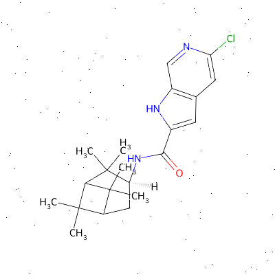 CC1(C)C2C[C@H](NC(=O)c3cc4cc(Cl)ncc4[nH]3)C(C)(C)C1C2(C)C